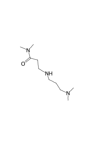 CN(C)CCCNCCC(=O)N(C)C